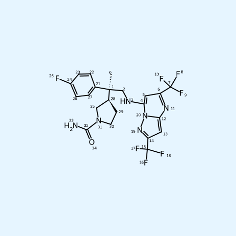 C[C@@](CNc1cc(C(F)(F)F)nc2cc(C(F)(F)F)nn12)(c1ccc(F)cc1)[C@H]1CCN(C(N)=O)C1